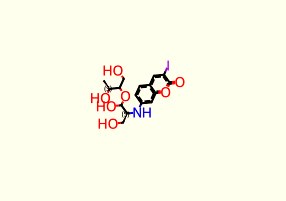 C[C@H](O)C(CO)OC(O)[C@H](CO)Nc1ccc2cc(I)c(=O)oc2c1